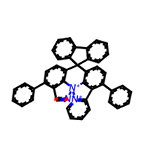 c1ccc(-c2ccc3c4c2-c2cccc[n+]2[N+]42c4c(ccc(-c5ccccc5)c4-c4cccc[n+]42)C32c3ccccc3-c3ccccc32)cc1